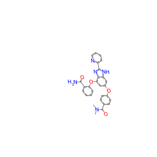 CN(C)C(=O)c1ccc(Oc2cc(Oc3ccccc3C(N)=O)c3nc(-c4ccccn4)[nH]c3c2)cc1